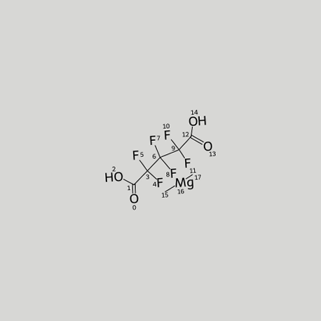 O=C(O)C(F)(F)C(F)(F)C(F)(F)C(=O)O.[CH3][Mg][CH3]